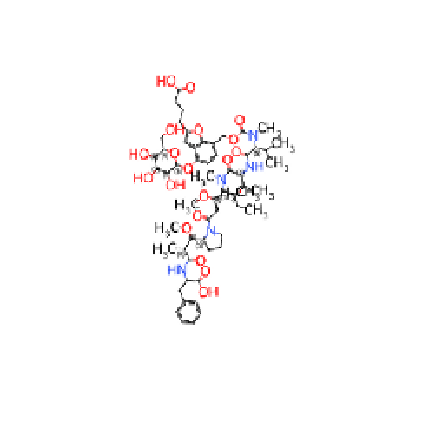 CCC(C)[C@@H]([C@@H](CC(=O)N1CCC[C@H]1[C@H](OC)[C@@H](C)C(=O)NC(Cc1ccccc1)C(=O)O)OC)N(C)C(=O)[C@@H](NC(=O)[C@H](C(C)C)N(C)C(=O)OCc1ccc(O[C@@H]2O[C@H](CO)[C@H](O)[C@H](O)[C@H]2O)c2cc(CCCC(=O)O)oc12)C(C)C